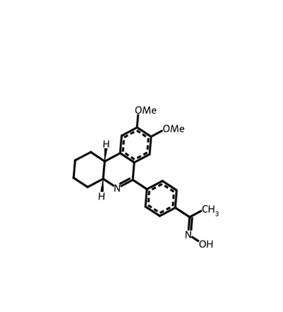 COc1cc2c(cc1OC)[C@H]1CCCC[C@H]1N=C2c1ccc(/C(C)=N/O)cc1